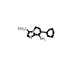 CCOC(=O)c1cnc2c(N)c(-c3ccccc3)ccn12